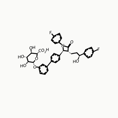 O=C(O)[C@@H]1O[C@H](Oc2cccc(-c3ccc([C@@H]4[C@@H](CC[C@H](O)c5ccc(F)cc5)C(=O)N4c4ccc(F)cc4)cc3)c2)[C@@H](O)[C@H](O)[C@H]1O